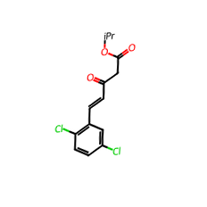 CC(C)OC(=O)CC(=O)C=Cc1cc(Cl)ccc1Cl